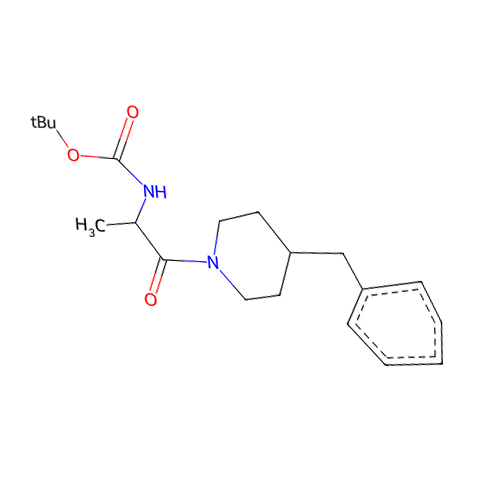 CC(NC(=O)OC(C)(C)C)C(=O)N1CCC(Cc2ccccc2)CC1